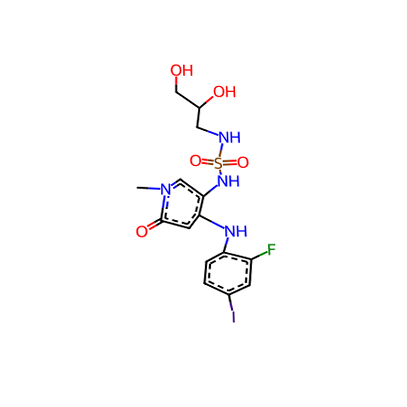 Cn1cc(NS(=O)(=O)NCC(O)CO)c(Nc2ccc(I)cc2F)cc1=O